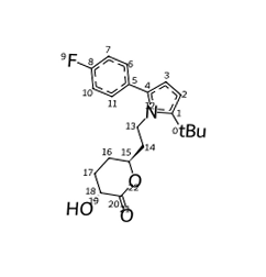 CC(C)(C)c1ccc(-c2ccc(F)cc2)n1CC[C@@H]1CC[C@@H](O)C(=O)O1